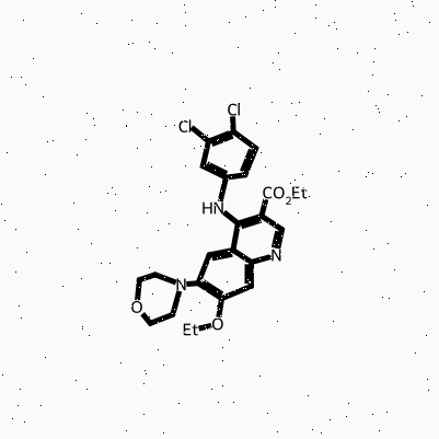 CCOC(=O)c1cnc2cc(OCC)c(N3CCOCC3)cc2c1Nc1ccc(Cl)c(Cl)c1